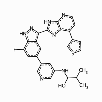 CC(C)C(O)Nc1cncc(-c2cc(F)c3[nH]nc(-c4nc5c(-c6ccsc6)ccnc5[nH]4)c3c2)c1